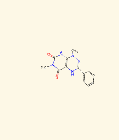 CN1N=C(c2ccccc2)Nc2c1[nH]c(=O)n(C)c2=O